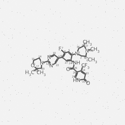 C[C@@H]1CN(c2cc(F)c(-c3cnc(N4CCOC(C)(C)C4)nc3)cc2NC(=O)c2c[nH]c(=O)cc2C(F)(F)F)C[C@H](C)N1C